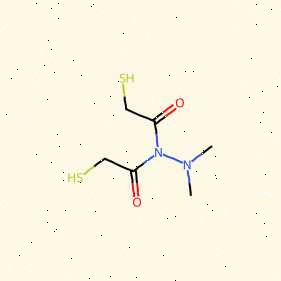 CN(C)N(C(=O)CS)C(=O)CS